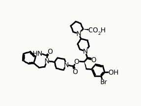 O=C(O)[C@@H]1CCCCN1C1CCN(C(=O)[C@@H](Cc2ccc(O)c(Br)c2)OC(=O)N2CCC(N3CCc4ccccc4NC3=O)CC2)CC1